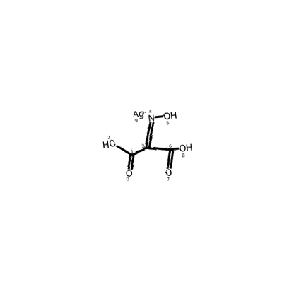 O=C(O)C(=NO)C(=O)O.[Ag]